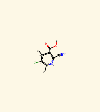 COC(=O)c1c(C#N)nc(C)c(Cl)c1C